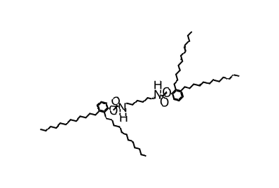 CCCCCCCCCCCCc1cccc(OC(=O)NCCCCCCNC(=O)Oc2cccc(CCCCCCCCCCCC)c2CCCCCCCCCCCC)c1CCCCCCCCCCCC